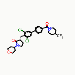 O=C(c1ccc(-c2cc(Cl)c(C[C@@H]3CCN(C4CCOCC4)C3=O)c(Cl)c2)cc1)N1CCC(C(F)(F)F)CC1